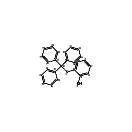 Oc1ccccc1SC(c1ccccc1)(c1ccccc1)c1ccccc1